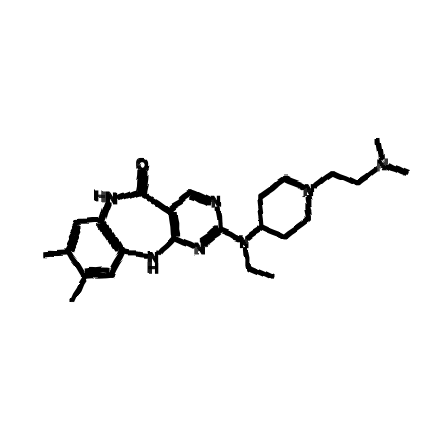 CCN(c1ncc2c(n1)Nc1cc(C)c(C)cc1NC2=O)C1CCN(CCN(C)C)CC1